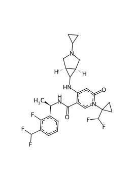 C[C@@H](NC(=O)c1cn(C2(C(F)F)CC2)c(=O)cc1NC1[C@H]2CN(C3CC3)C[C@@H]12)c1cccc(C(F)F)c1F